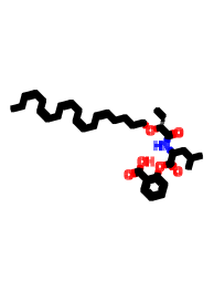 CC/C=C\C/C=C\C/C=C\C/C=C\C/C=C\CCCCO[C@H](CC)C(=O)NC(CC(C)C)C(=O)Oc1ccccc1C(=O)O